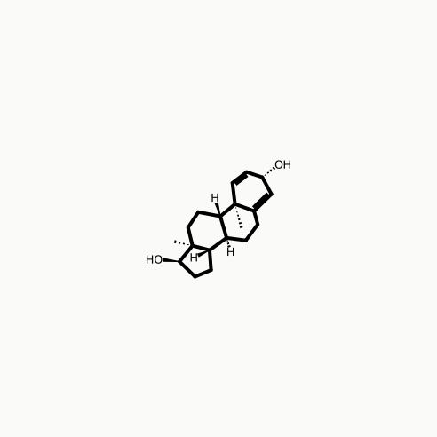 C[C@]12CC[C@H]3[C@@H](CCC4=C[C@@H](O)C=C[C@@]43C)[C@@H]1CC[C@H]2O